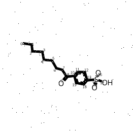 CCCCCCCCC(=O)c1ccc(S(=O)(=O)O)cc1